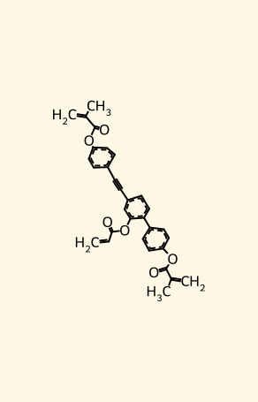 C=CC(=O)Oc1cc(C#Cc2ccc(OC(=O)C(=C)C)cc2)ccc1-c1ccc(OC(=O)C(=C)C)cc1